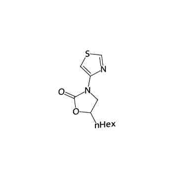 CCCCCCC1CN(c2cscn2)C(=O)O1